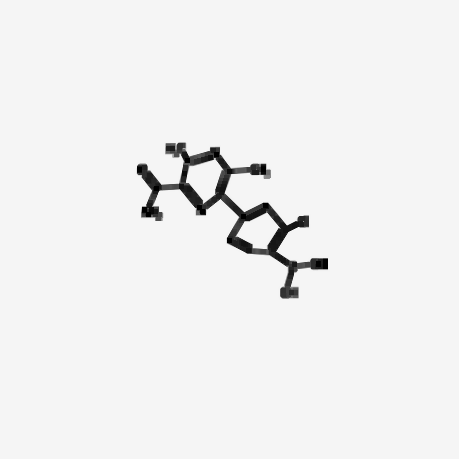 Cc1nc(C)c(-c2ccc(B(O)O)c(Cl)c2)nc1C(N)=O